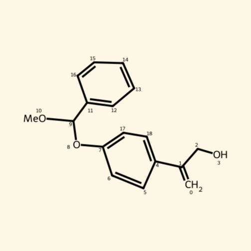 C=C(CO)c1ccc(OC(OC)c2ccccc2)cc1